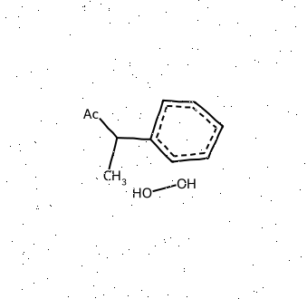 CC(=O)C(C)c1ccccc1.OO